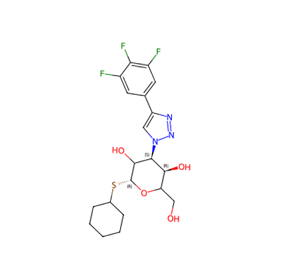 OCC1O[C@H](SC2CCCCC2)C(O)[C@@H](n2cc(-c3cc(F)c(F)c(F)c3)nn2)[C@H]1O